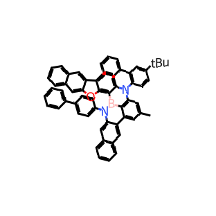 Cc1cc2c3c(c1)N(c1ccc(C(C)(C)C)cc1-c1ccccc1)c1ccc4c(oc5cc6ccccc6cc54)c1B3N(c1ccc(-c3ccccc3)cc1)c1cc3ccccc3cc1-2